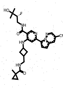 CC1(C(=O)NCC2CC(Nc3cc(-c4ccc5cc(C#N)cnn45)ncc3C(=O)NC[C@@H](F)C(C)(C)O)C2)CC1